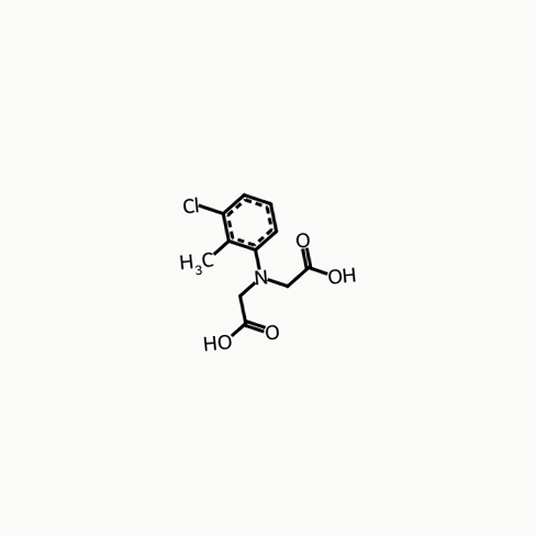 Cc1c(Cl)cccc1N(CC(=O)O)CC(=O)O